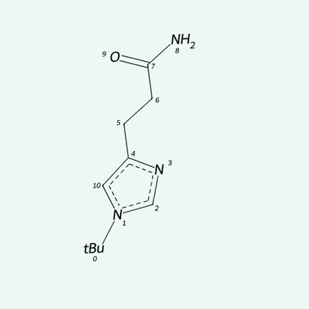 CC(C)(C)n1cnc(CCC(N)=O)c1